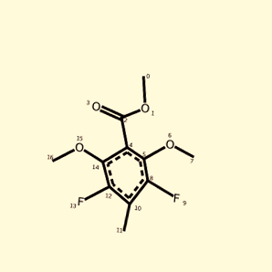 COC(=O)c1c(OC)c(F)c(C)c(F)c1OC